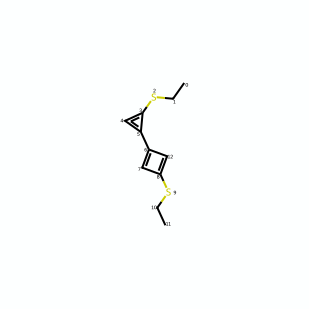 CCSC1=C=C1C1=CC(SCC)=C1